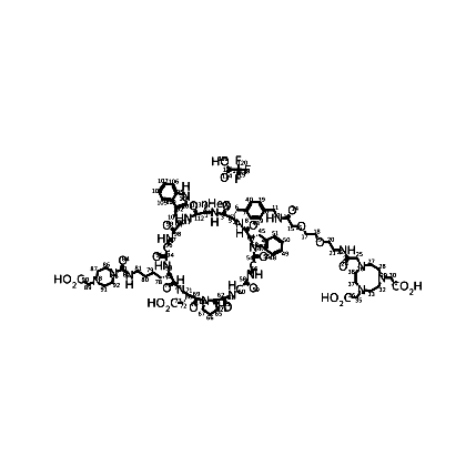 CCCCCC[C@@H]1NC(=O)[C@H](Cc2ccc(CNC(=O)COCCOCCNC(=O)CN3CCN(CC(=O)O)CCN(CC(=O)O)CC3)cc2)NC(=O)[C@H](Cc2ccccc2)N(C)C(=O)CNC(=O)CNC(=O)[C@H]2CCCN2C(=O)[C@H](CC(=O)O)NC(=O)[C@H](CCCCNC(=O)N2CCN(CC(=O)O)CC2)NC(=O)CNC(=O)[C@H](Cc2c[nH]c3ccccc23)NC1=O.O=C(O)C(F)(F)F